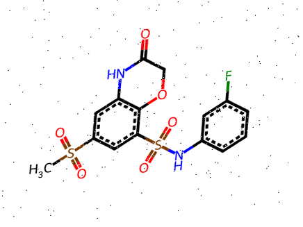 CS(=O)(=O)c1cc2c(c(S(=O)(=O)Nc3cccc(F)c3)c1)OCC(=O)N2